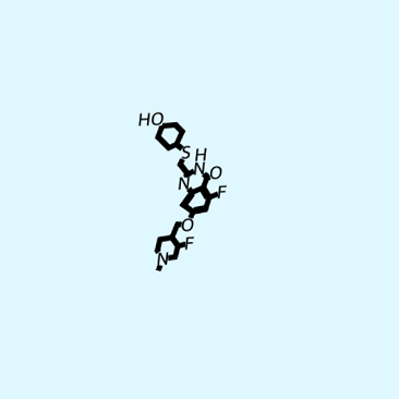 CN1CCC(COc2cc(F)c3c(=O)[nH]c(CSC4CCC(O)CC4)nc3c2)C(F)C1